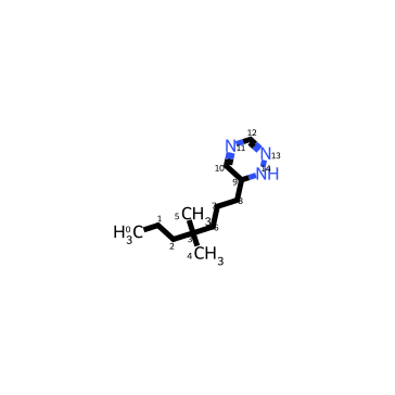 CCCC(C)(C)CCCC1C=NC=NN1